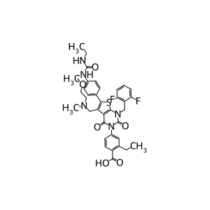 CCNC(=O)Nc1ccc(-c2sc3c(c2CN(C)CCOC)c(=O)n(-c2ccc(C(=O)O)c(CC)c2)c(=O)n3Cc2c(F)cccc2F)cc1